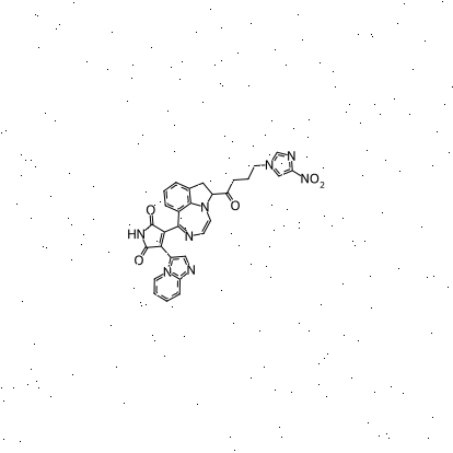 O=C1NC(=O)C(c2cnc3ccccn23)=C1C1=NC=CN2c3c(cccc31)CC2C(=O)CCCn1cnc([N+](=O)[O-])c1